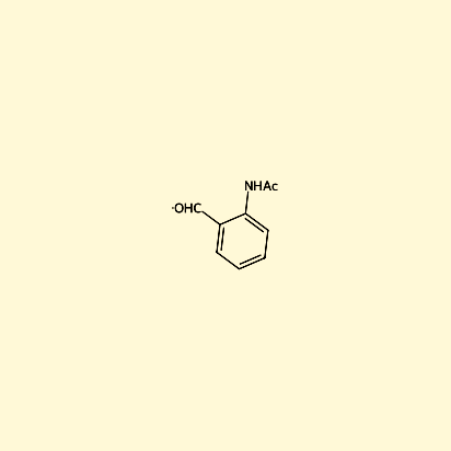 CC(=O)Nc1ccccc1[C]=O